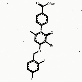 COC(=O)c1ccc(-n2c(C)cc(OCc3ccc(F)cc3F)c(Br)c2=O)cc1